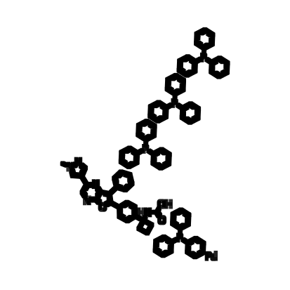 Cn1cc(-c2cnc3oc(-c4ccc(C5(NC(=O)O)CCC5)cc4)c(-c4ccccc4)c3n2)cn1.[Pd].c1ccc(P(c2ccccc2)c2ccccc2)cc1.c1ccc(P(c2ccccc2)c2ccccc2)cc1.c1ccc(P(c2ccccc2)c2ccccc2)cc1.c1ccc(P(c2ccccc2)c2ccccc2)cc1